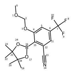 COCOc1cc(C(F)(F)F)cc(C#N)c1B1OC(C)(C)C(C)(C)O1